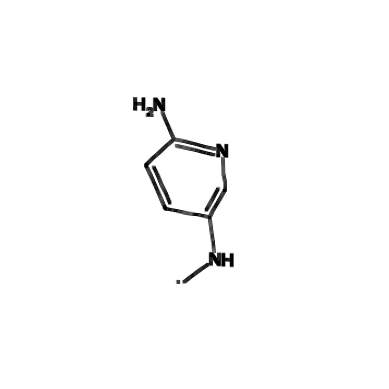 [CH2]Nc1ccc(N)nc1